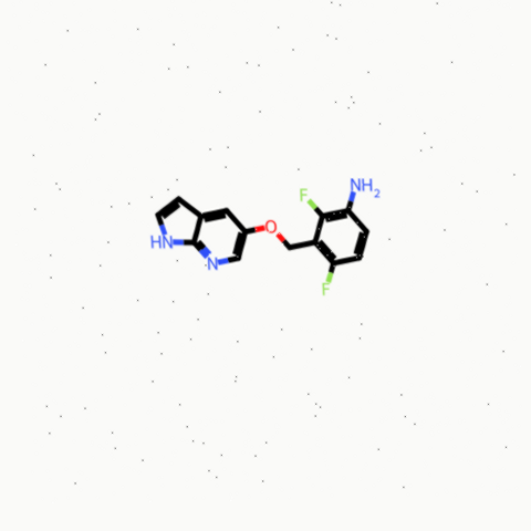 Nc1ccc(F)c(COc2cnc3[nH]ccc3c2)c1F